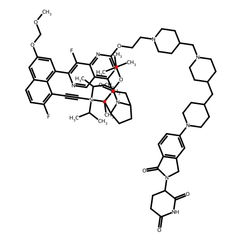 COCOc1cc(-c2ncc3c(N4CC5CCC(C4)N5C(=O)OC(C)(C)C)nc(OCCN4CCC(CN5CCC(CC6CCN(c7ccc8c(c7)CN(C7CCC(=O)NC7=O)C8=O)CC6)CC5)CC4)nc3c2F)c2c(C#C[Si](C(C)C)(C(C)C)C(C)C)c(F)ccc2c1